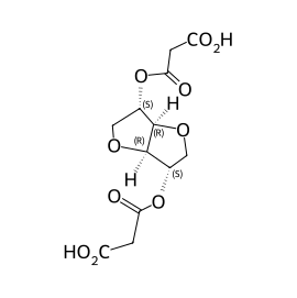 O=C(O)CC(=O)O[C@H]1CO[C@H]2[C@@H]1OC[C@@H]2OC(=O)CC(=O)O